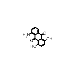 Nc1cccc2c1C(=O)c1c(O)ccc(O)c1C2=O